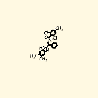 Cc1cc(Cl)c(C(=O)NCC(c2ccccc2)c2nc3cc(C)c(C)cc3[nH]2)c(Cl)c1